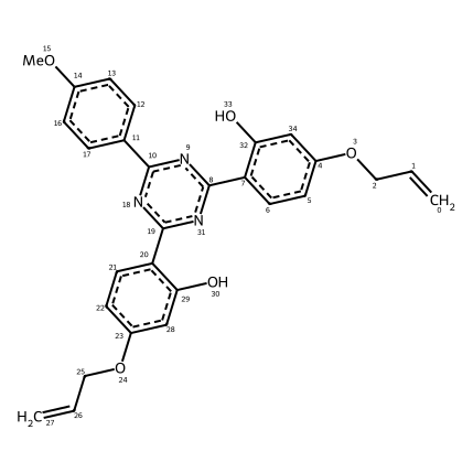 C=CCOc1ccc(-c2nc(-c3ccc(OC)cc3)nc(-c3ccc(OCC=C)cc3O)n2)c(O)c1